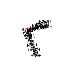 C=C(C)C(=O)O.C=C(C)C(=O)O.C=C(C)C(=O)O.C=C(C)C(=O)O.C=C(C)C(=O)O.C=C(C)C(=O)O.C=CC(=O)O.C=CC(=O)O.C=CC(=O)O.C=CC(=O)O.C=CC(=O)O.C=CC(=O)O.OCC(CO)(CO)COCC(CO)(CO)CO.OCC(CO)(CO)COCC(CO)(CO)CO